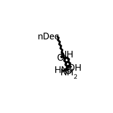 CCCCCCCCCCCCCCCCCCNC(=O)c1ccc2cc(O)c(C(=O)NN)cc2c1